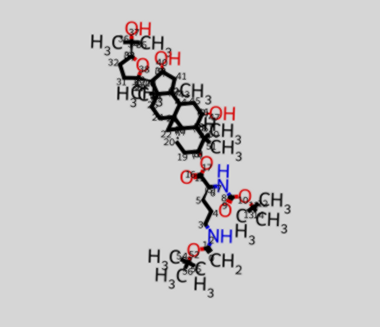 C=C(NCCC[C@H](NC(=O)OC(C)(C)C)C(=O)O[C@H]1CC[C@]23CC24CC[C@]2(C)[C@@H]([C@@]5(C)CC[C@@H](C(C)(C)O)O5)[C@@H](O)C[C@@]2(C)C4C[C@H](O)[C@H]3C1(C)C)OC(C)(C)C